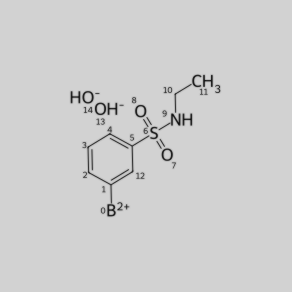 [B+2]c1cccc(S(=O)(=O)NCC)c1.[OH-].[OH-]